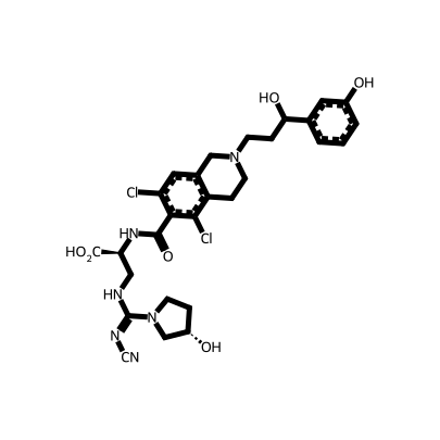 N#C/N=C(/NC[C@H](NC(=O)c1c(Cl)cc2c(c1Cl)CCN(CCC(O)c1cccc(O)c1)C2)C(=O)O)N1CC[C@H](O)C1